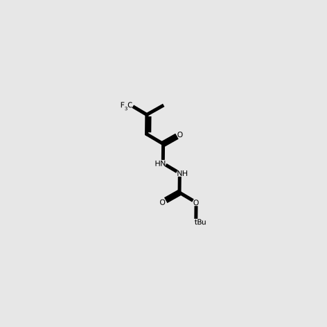 C/C(=C\C(=O)NNC(=O)OC(C)(C)C)C(F)(F)F